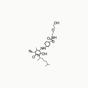 Cc1c(/N=N/c2ccc(S(=O)(=O)NCCOCCO)cc2)c(O)n(C(C)CCCC(C)C)c(=O)c1C#N